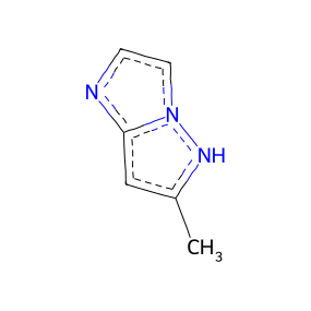 Cc1cc2nccn2[nH]1